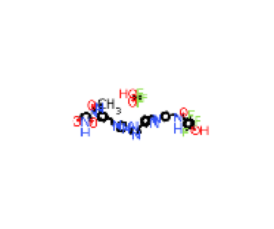 Cn1c(=O)n([C@@H]2CCC(=O)NC2=O)c2ccc(CCN3CCN(c4cncc(-c5ccc6cn(C7CCC(CNC(=O)c8cc(F)c(O)c(F)c8F)CC7)nc6c5)n4)CC3)cc21.O=C(O)C(F)(F)F